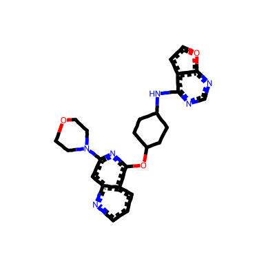 c1cnc2cc(N3CCOCC3)nc(OC3CCC(Nc4ncnc5occc45)CC3)c2c1